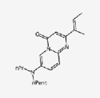 C/C=C(\C)c1cc(=O)n2cc(N(CCC)CCCCC)ccc2n1